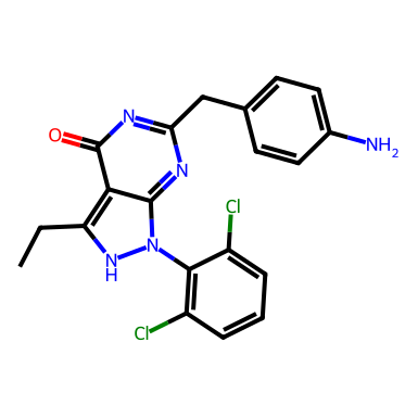 CCc1[nH]n(-c2c(Cl)cccc2Cl)c2nc(Cc3ccc(N)cc3)nc(=O)c1-2